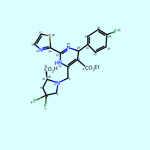 CCOC(=O)C1=C(CN2CC(F)(F)C[C@H]2C(=O)O)NC(c2nccs2)=NC1c1ccc(F)cc1